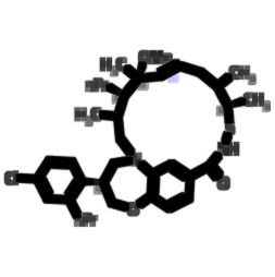 CCCc1cc(Cl)ccc1[C@@H]1COc2ccc3cc2N(CC(C)[C@@H](CCC)[C@@](C)(OC)/C=C/CC(C)[C@@H](C)SNC3=O)C1